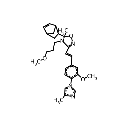 COCCCN1C(/C=C/c2ccc(-n3cnc(C)c3)c(OC)c2)=NOC1(C)C1CC2C=CC1C2